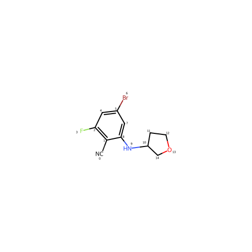 N#Cc1c(F)cc(Br)cc1NC1CCOC1